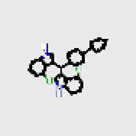 Clc1cccc2[nH]cc(C(c3ccc(-c4ccccc4)cc3)c3c[nH]c4cccc(Cl)c34)c12